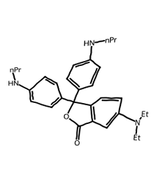 CCCNc1ccc(C2(c3ccc(NCCC)cc3)OC(=O)c3cc(N(CC)CC)ccc32)cc1